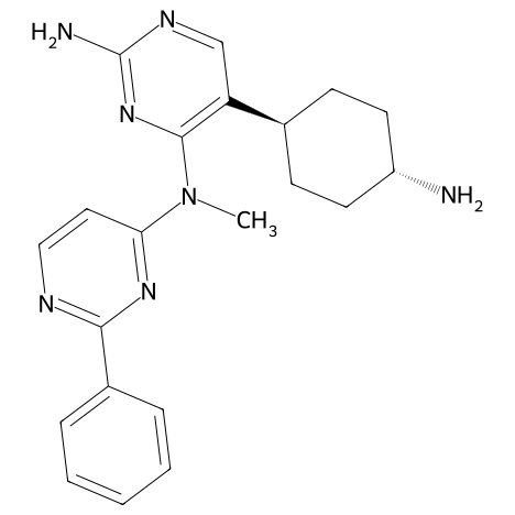 CN(c1ccnc(-c2ccccc2)n1)c1nc(N)ncc1[C@H]1CC[C@H](N)CC1